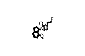 COc1cccc2c1C(NC(=O)NCCF)CC2